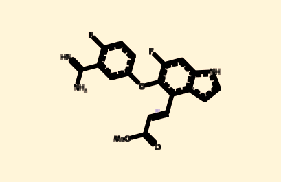 COC(=O)/C=C/c1c(Oc2ccc(F)c(C(=N)N)c2)c(F)cc2[nH]ccc12